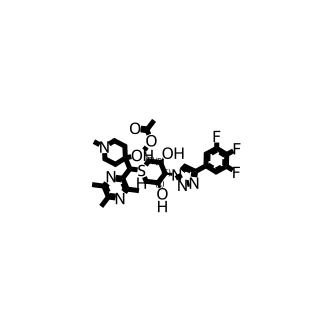 CC(=O)OC[C@@H]1[C@H](O)[C@@H](n2cc(-c3cc(F)c(F)c(F)c3)nn2)[C@@H](O)C[SH]1C(c1nc(C)c(C)nc1C)C1(O)CCN(C)CC1